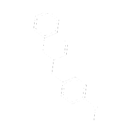 COc1ccc(CC([C]=O)Cc2ccccc2)cc1